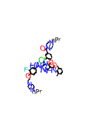 CCCN1CCN(CCOc2ccc(Nc3ncc(C(=O)Nc4c(C)cccc4C)c(Oc4ccc(C(=O)N5CCN(CCC)CC5)cc4Cl)n3)cc2F)CC1